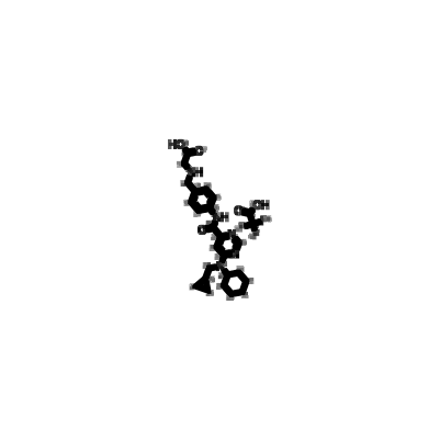 O=C(O)C(F)(F)F.O=C(O)CNCc1ccc(NC(=O)c2cc(N(CC3CC3)C3CCCCC3)ncn2)cc1